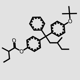 CCC(C)CC(c1ccccc1)(c1ccc(OC(=O)C(C)CC)cc1)c1ccc(OC(C)(C)C)cc1